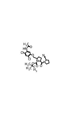 CC(=O)Nc1cc(OCC2CCC(C(=O)N3CCCC3C#N)N2C(=O)OC(C)(C)C)c(Cl)cc1Cl